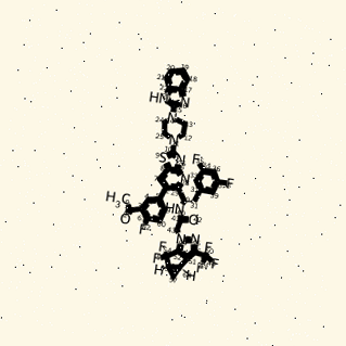 CC(=O)c1cc(-c2cc3sc(N4CCN(c5nc6ccccc6[nH]5)CC4)nc3nc2[C@H](Cc2cc(F)cc(F)c2)NC(=O)Cn2nc(C(F)(F)F)c3c2C(F)(F)[C@@H]2C[C@H]32)ccc1F